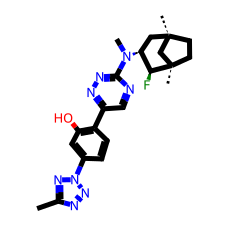 Cc1nnn(-c2ccc(-c3cnc(N(C)[C@@H]4C[C@@]5(C)CC[C@](C)(C5)[C@H]4F)nn3)c(O)c2)n1